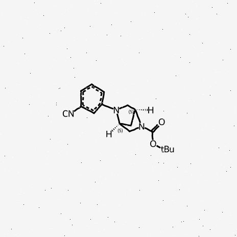 [C-]#[N+]c1cccc(N2C[C@@H]3C[C@H]2CN3C(=O)OC(C)(C)C)c1